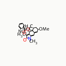 CO[C@H]1C=C2C=C3C(=C(C)C(=O)N3C)C(OC(=O)c3ccccc3[N+](=O)[O-])[C@]2(C)[C@H](C)C1